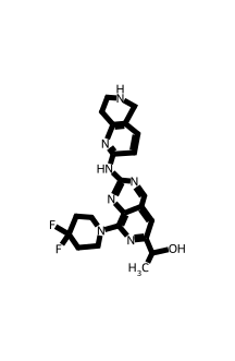 CC(O)c1cc2cnc(Nc3ccc4c(n3)CCNC4)nc2c(N2CCC(F)(F)CC2)n1